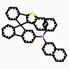 c1ccc(N(c2ccc3c(c2)C2(c4ccccc4-3)c3ccccc3-c3sc4ccccc4c32)c2ccc3ccccc3c2)cc1